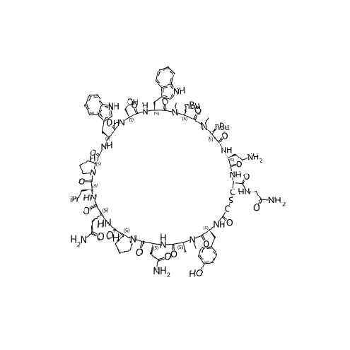 CCCC[C@H]1C(=O)N(C)[C@@H](CCCC)C(=O)N[C@@H](CCN)C(=O)NC(C(=O)NCC(N)=O)CSCC(=O)N[C@@H](Cc2ccc(O)cc2)C(=O)N(C)[C@@H](C)C(=O)N[C@@H](CC(N)=O)C(=O)N2CCC[C@H]2C(=O)N[C@@H](CC(N)=O)C(=O)N[C@@H](CC(C)C)C(=O)N2CCC[C@H]2C(=O)N[C@@H](Cc2c[nH]c3ccccc23)C(=O)N[C@@H](CO)C(=O)N[C@@H](Cc2c[nH]c3ccccc23)C(=O)N1C